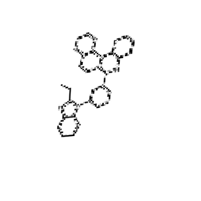 CCc1nc2ccccc2n1-c1cccc(-c2nc3ccccc3c3c2ccc2ccccc23)c1